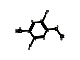 CCOc1cc(F)c(O)cc1F